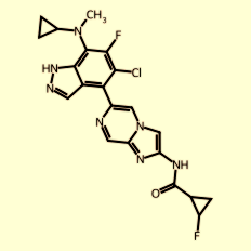 CN(c1c(F)c(Cl)c(-c2cn3cc(NC(=O)C4CC4F)nc3cn2)c2cn[nH]c12)C1CC1